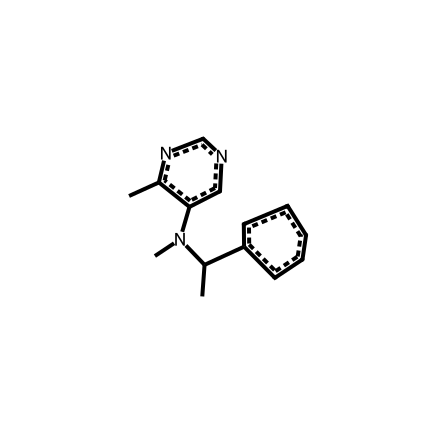 Cc1ncncc1N(C)C(C)c1ccccc1